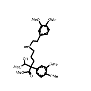 COC(=O)C(CCCN(C)CCc1ccc(OC)c(OC)c1)(c1ccc(OC)c(OC)c1)C(O)OC